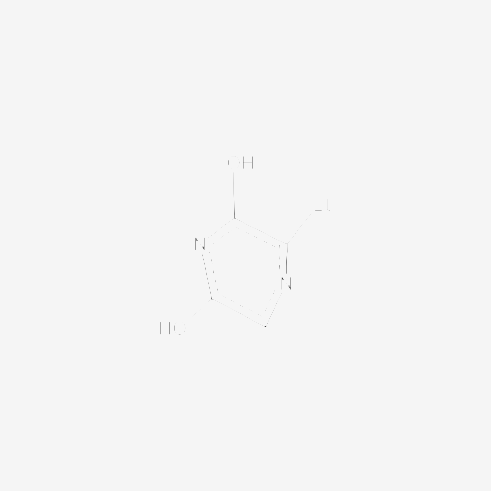 CCc1ncc(O)nc1O